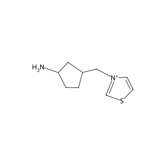 NC1CCC(C[n+]2ccsc2)C1